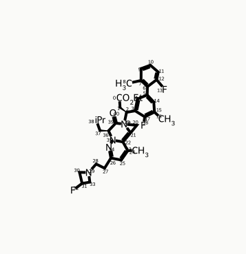 CCOC(=O)C[C@@H](c1cc(-c2c(C)cccc2F)cc(C)c1F)[N+]12CC1=C1C(C)=CC(CCN3CC(F)C3)=NN1[C@@H](CC(C)C)C2=O